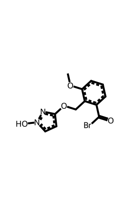 COc1cccc(C(=O)Br)c1COc1ccn(O)n1